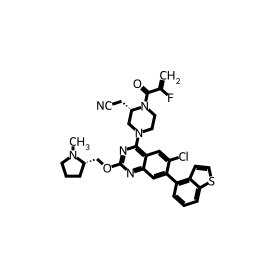 C=C(F)C(=O)N1CCN(c2nc(OC[C@@H]3CCCN3C)nc3cc(-c4cccc5sccc45)c(Cl)cc23)C[C@@H]1CC#N